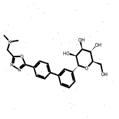 CN(C)Cc1nnc(-c2ccc(-c3cccc([C@H]4O[C@H](CO)[C@@H](O)[C@H](O)[C@@H]4O)c3)cc2)o1